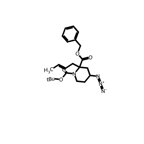 CC=CCC1(C(=O)OCc2ccccc2)CC(N=[N+]=[N-])CCN1C(=O)OC(C)(C)C